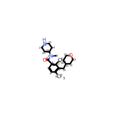 CN(C(=O)c1ccc(C(F)(F)F)c(CC2CCOCC2)c1C(F)(F)F)C1CCNCC1